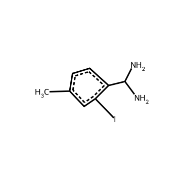 Cc1ccc(C(N)N)c(I)c1